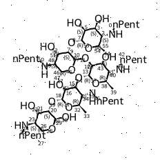 CCCCCN[C@H]1[C@H](O)[C@H](O)[C@@H](O[C@@H]2[C@@H](O[C@@H]3[C@@H](O[C@@H]4[C@H](O)[C@@H](O[C@H]5[C@@H](O)[C@H](NCCCCC)[C@@H](C)O[C@@H]5O)O[C@H](C)[C@H]4NCCCCC)O[C@H](C)[C@@H](NCCCCC)[C@@H]3O)O[C@H](C)[C@@H](NCCCCC)[C@@H]2O)O[C@@H]1C